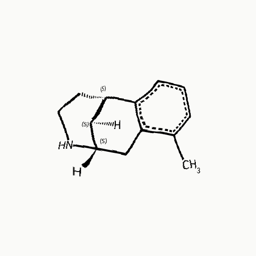 Cc1cccc2c1C[C@@H]1NCC[C@]23CCCC[C@H]13